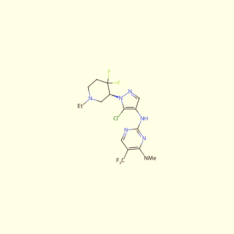 CCN1CCC(F)(F)[C@@H](n2ncc(Nc3ncc(C(F)(F)F)c(NC)n3)c2Cl)C1